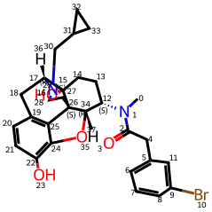 CN(C(=O)Cc1cccc(Br)c1)[C@H]1CC[C@@]2(O)[C@H]3Cc4ccc(O)c5c4[C@@]2(CCN3CC2CC2)[C@H]1O5